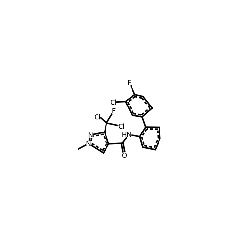 Cn1cc(C(=O)Nc2ccccc2-c2ccc(F)c(Cl)c2)c(C(F)(Cl)Cl)n1